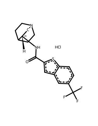 Cl.O=C(N[C@H]1CN2CCC1CC2)c1cc2cc(C(F)(F)F)ccc2s1